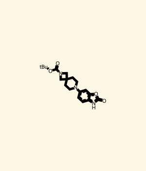 CC(C)(C)OC(=O)N1CC2(CCN(c3ccc4[nH]c(=O)oc4c3)CC2)C1